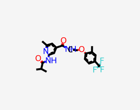 Cc1cc(C(=O)NCCOc2ccc(C(F)(F)F)cc2C)cc(NC(=O)C(C)C)n1